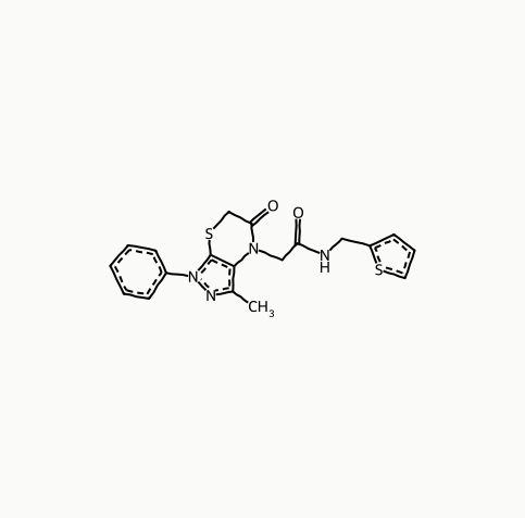 Cc1nn(-c2ccccc2)c2c1N(CC(=O)NCc1cccs1)C(=O)CS2